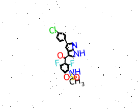 CS(=O)(=O)Nc1ccc(F)c(C(=O)c2c[nH]c3ncc(-c4ccc(Cl)cc4)cc23)c1F